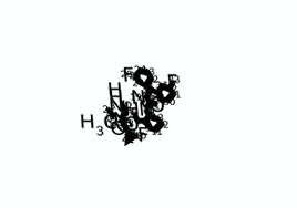 C[C@@H]1CNC[C@H](CCc2c(F)cccc2NC(=O)[C@@H](N)C(c2cccc(F)c2)c2cccc(F)c2)N1S(=O)(=O)C1CC1